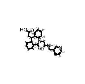 O=C(O)CC1c2ccccc2C(=O)N(CC(=O)NCc2cccnc2)c2ccccc21